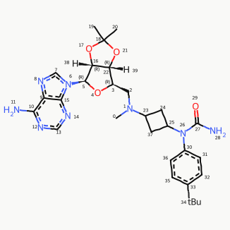 CN(C[C@H]1O[C@@H](n2cnc3c(N)ncnc32)[C@@H]2OC(C)(C)O[C@@H]21)C1CC(N(C(N)=O)c2ccc(C(C)(C)C)cc2)C1